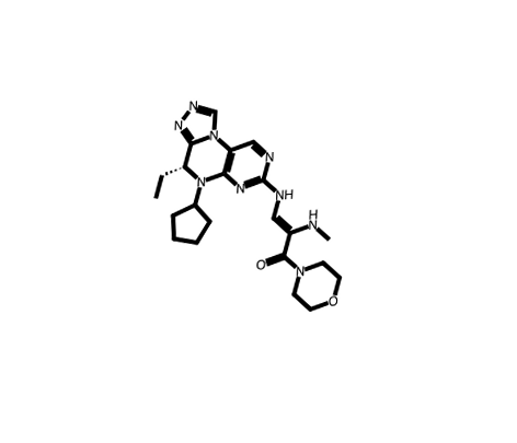 CC[C@@H]1c2nncn2-c2cnc(N/C=C(\NC)C(=O)N3CCOCC3)nc2N1C1CCCC1